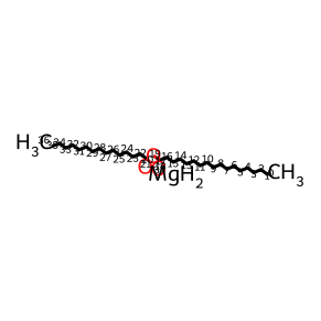 CCCCCCCCCCCCCCCCCC(=O)OC(=O)CCCCCCCCCCCCCCC.[MgH2]